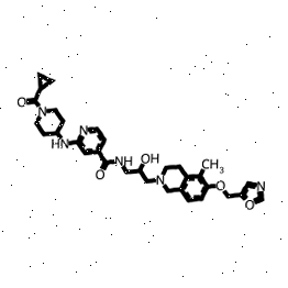 Cc1c(OCc2cnco2)ccc2c1CCN(CC(O)CNC(=O)c1ccnc(NC3CCN(C(=O)C4CC4)CC3)c1)C2